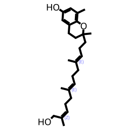 C/C(=C/CC/C(C)=C/CC/C(C)=C/CCC1(C)CCc2cc(O)cc(C)c2O1)CO